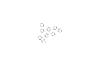 Cc1cc2c3c(c1)N(c1cccc4c1sc1ccccc14)c1cc(N4c5ccccc5C5(C)CCCCC45C)ccc1B3c1ccc(C(C)(C)C)cc1N2c1cccc2c1oc1ccccc12